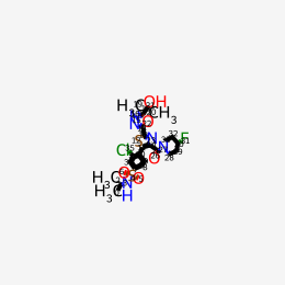 CC(C)NS(=O)(=O)c1ccc(-c2sc(-c3nnc(C(C)(C)O)o3)nc2C(=O)N2CCC(F)CC2)c(Cl)c1